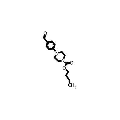 CCCCOC(=O)N1CCN(c2ccc(C=O)cc2)CC1